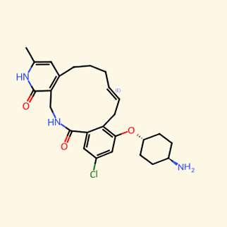 Cc1cc2c(c(=O)[nH]1)CNC(=O)c1cc(Cl)cc(O[C@H]3CC[C@H](N)CC3)c1C/C=C/CCC2